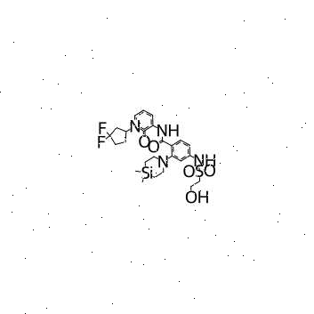 C[Si]1(C)CCN(c2cc(NS(=O)(=O)CCO)ccc2C(=O)Nc2cccn(C3CCC(F)(F)C3)c2=O)CC1